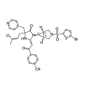 CC(Cl)=CCC1(Cc2ccncc2)NC(=CC(=O)c2ccc(C#N)cc2)N([C@H]2[C@@H]3CN(S(=O)(=O)c4ccc(Br)s4)C[C@@H]32)C1=O